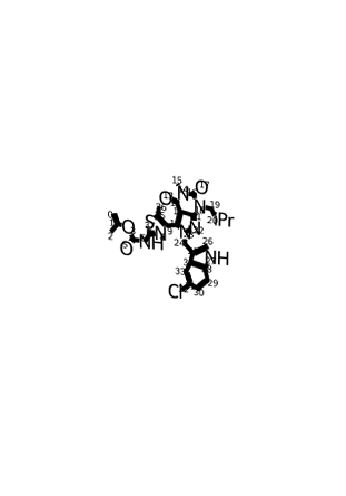 C=C(C)OC(=O)Nc1nc(-c2c3c(=O)n(C)c(=O)n(CC(C)C)c3nn2Cc2c[nH]c3ccc(Cl)cc23)c(C)s1